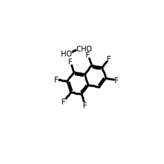 Fc1cc2c(F)c(F)c(F)c(F)c2c(F)c1F.O=CO